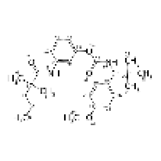 CCCC(C)(C)C(=O)Nc1cccc(OC(=O)NC(c2ccc(OC)cc2)C(C)(C)C)c1